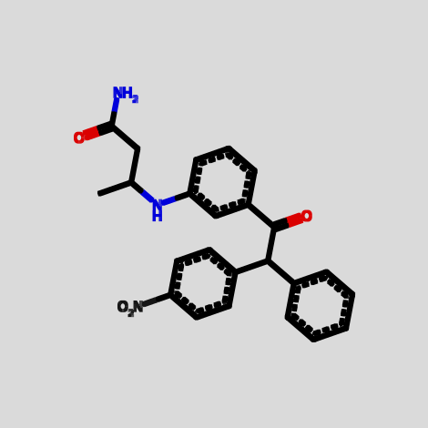 CC(CC(N)=O)Nc1cccc(C(=O)C(c2ccccc2)c2ccc([N+](=O)[O-])cc2)c1